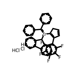 Cl.Cl.Fc1c(F)c(F)c(C2=[C]([Zr](=[C](c3ccccc3)c3ccccc3)[CH]3c4ccccc4-c4ccccc43)CC=C2)c(F)c1F